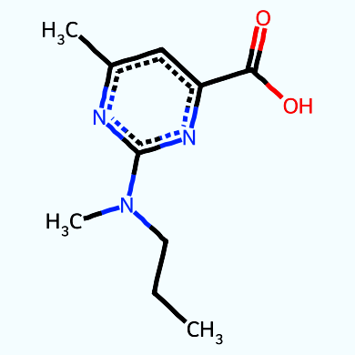 CCCN(C)c1nc(C)cc(C(=O)O)n1